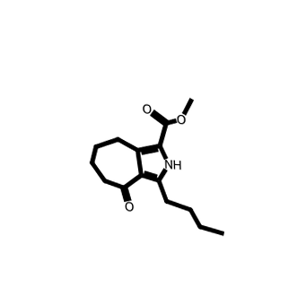 CCCCc1[nH]c(C(=O)OC)c2c1C(=O)CCCC2